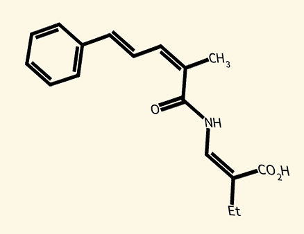 CCC(=CNC(=O)C(C)=CC=Cc1ccccc1)C(=O)O